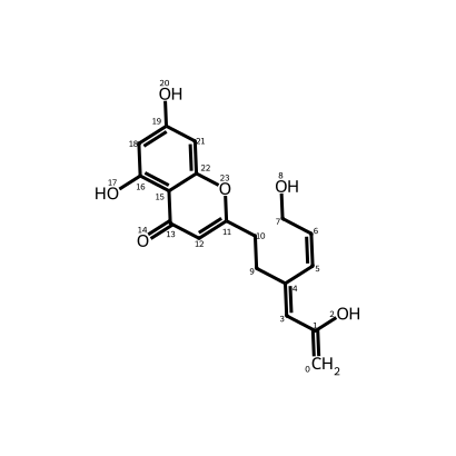 C=C(O)/C=C(\C=C/CO)CCc1cc(=O)c2c(O)cc(O)cc2o1